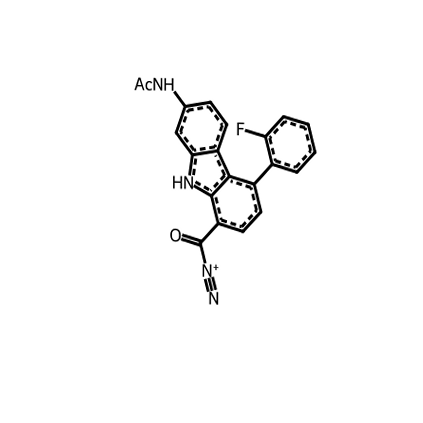 CC(=O)Nc1ccc2c(c1)[nH]c1c(C(=O)[N+]#N)ccc(-c3ccccc3F)c12